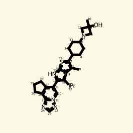 Cc1c(C2CCC(N3CC(C)(O)C3)CC2)sc2[nH]c(-c3cn4ncnc4c4c3CCC4)c(C(C)C)c12